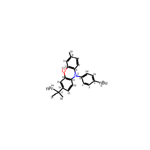 CCCCc1ccc(N2c3ccc(C)cc3Oc3cc(C(C)(C)CCC)ccc32)cc1